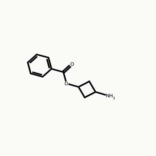 NC1CC(OC(=O)c2ccccc2)C1